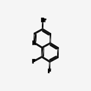 Fc1ccc2cc(Br)cnc2c1F